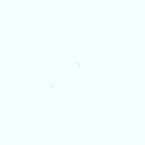 CC(C)(C)C1=CC2=C(CC1)B1c3ccc4c(c3N(c3ccccc3)c3cccc(c31)N2c1ccc2c3c(cccc13)CCC2)CCCC4